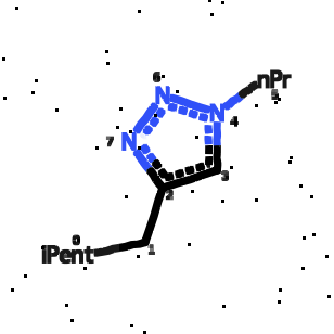 CCCC(C)Cc1cn(CCC)nn1